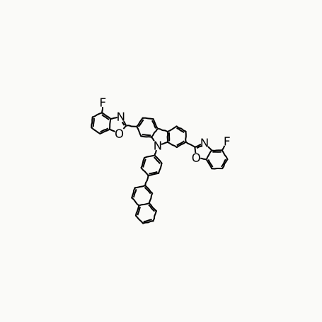 Fc1cccc2oc(-c3ccc4c5ccc(-c6nc7c(F)cccc7o6)cc5n(-c5ccc(-c6ccc7ccccc7c6)cc5)c4c3)nc12